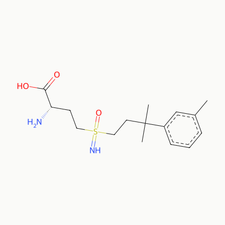 Cc1cccc(C(C)(C)CCS(=N)(=O)CC[C@H](N)C(=O)O)c1